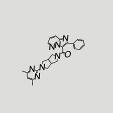 Cc1cc(C)nc(N2CC3CN(C(=O)c4c(-c5ccccc5)nc5cccnn45)CC3C2)n1